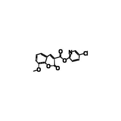 COc1cccc2cc(C(=O)Oc3ccc(Cl)cn3)c(=O)oc12